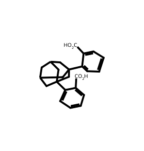 O=C(O)c1ccccc1C12CC3CC(C1)CC(c1ccccc1C(=O)O)(C3)C2